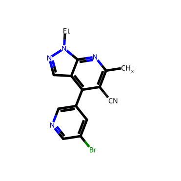 CCn1ncc2c(-c3cncc(Br)c3)c(C#N)c(C)nc21